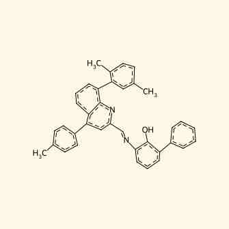 Cc1ccc(-c2cc(C=Nc3cccc(-c4ccccc4)c3O)nc3c(-c4cc(C)ccc4C)cccc23)cc1